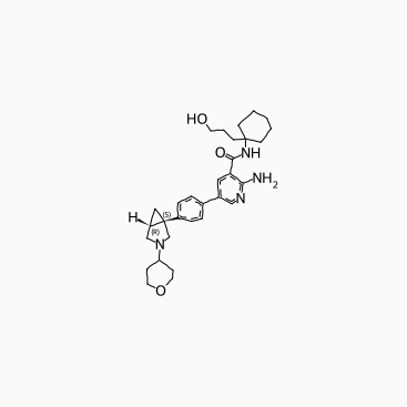 Nc1ncc(-c2ccc([C@]34C[C@H]3CN(C3CCOCC3)C4)cc2)cc1C(=O)NC1(CCCO)CCCCC1